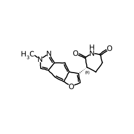 Cn1cc2cc3occ([C@H]4CCC(=O)NC4=O)c3cc2n1